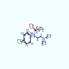 CCN(CC)CCN(C(=O)C(C)C)c1ccc(Cl)cc1